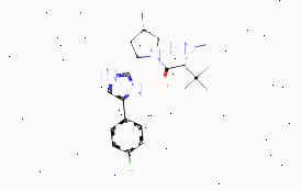 CN[C@H](C(=O)N1C[C@H](C)C[C@H]1c1nc(-c2ccc(F)cc2)c[nH]1)C(C)(C)C